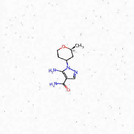 C[C@H]1CC(n2ncc(C(N)=O)c2N)CCO1